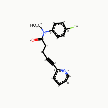 O=C(O)N(C(=O)CCC#Cc1ccccn1)c1ccc(F)cc1